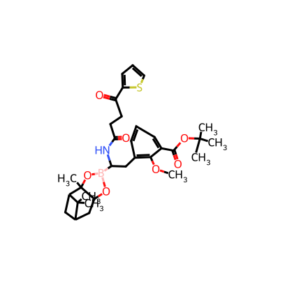 COc1c(CC(NC(=O)CCC(=O)c2cccs2)B2OC3CC4CC(C4(C)C)C3(C)O2)cccc1C(=O)OC(C)(C)C